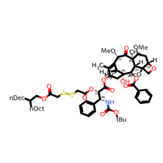 CCCCCCCCCCC(CCCCCCCC)COC(=O)CSSCC(=O)O[C@H](C(=O)O[C@@H]1C[C@]2(O)[C@H](OC(=O)c3ccccc3)[C@H]3[C@@]4(OC(C)=O)CO[C@H]4C[C@@H](OC)[C@]3(C)C(=O)[C@@H](OC)C(=C1C)C2(C)C)[C@H](NC(=O)OC(C)(C)C)c1ccccc1